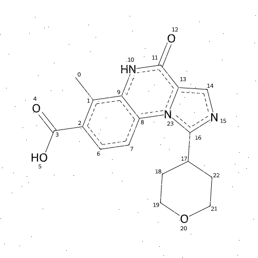 Cc1c(C(=O)O)ccc2c1[nH]c(=O)c1cnc(C3CCOCC3)n12